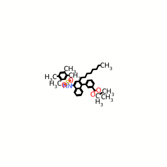 CCCCCCCCc1cc(NS(=O)(=O)c2c(C)c(C)cc(C)c2C)c2ccccc2c1-c1cccc(C(=O)OC(C)(C)C)c1